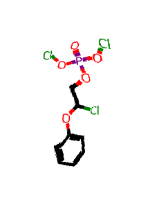 O=P(OCl)(OCl)OCC(Cl)Oc1ccccc1